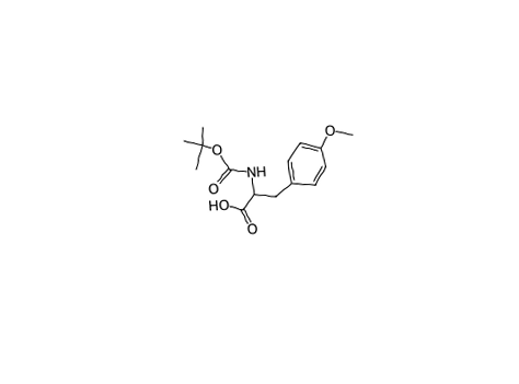 COc1ccc(CC(NC(=O)OC(C)(C)C)C(=O)O)cc1